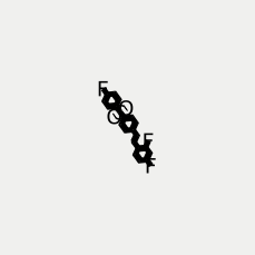 O=S(=O)(c1ccc(F)cc1)c1ccc(C=Cc2ccc(F)cc2F)cc1